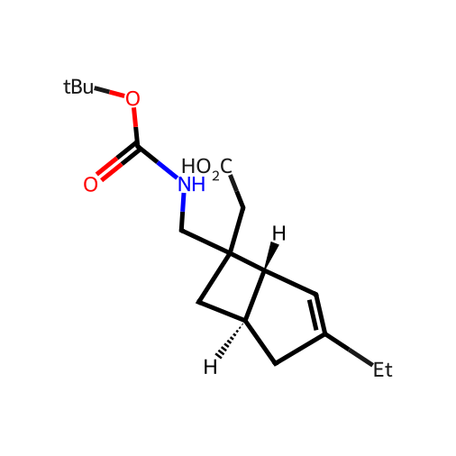 CCC1=C[C@@H]2[C@@H](C1)CC2(CNC(=O)OC(C)(C)C)CC(=O)O